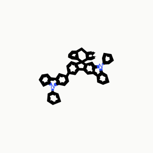 c1ccc(-n2c3ccccc3c3cc(-c4ccc5c(c4)-c4cc6c7ccccc7n(-c7ccccc7)c6cc4C54c5ccccc5Cc5ccccc54)ccc32)cc1